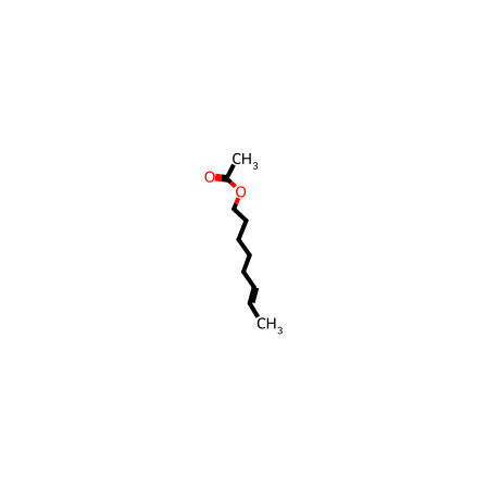 CC=CCCCCCOC(C)=O